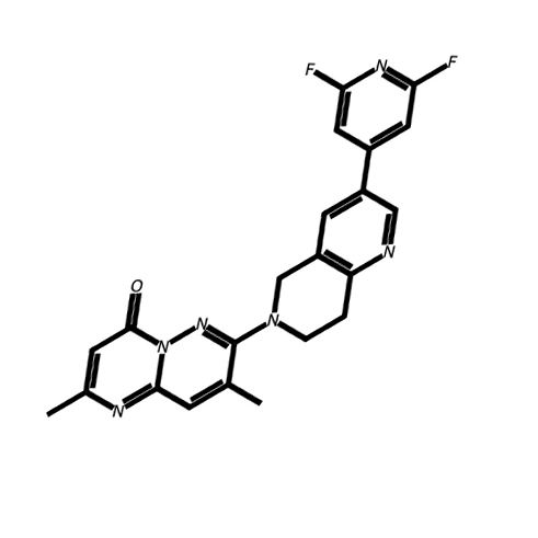 Cc1cc(=O)n2nc(N3CCc4ncc(-c5cc(F)nc(F)c5)cc4C3)c(C)cc2n1